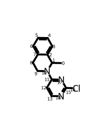 CC1c2ccccc2CCN1c1ccnc(Cl)n1